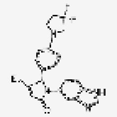 CCC1=CC(=O)N(c2ccc3[nH]cnc3c2)C1c1ccc(N2CCC(F)(F)C2)cc1